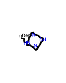 CCCCCCCCCCCCCc1cc2cc3nc(cc4ccc(cc5nc(cc1[nH]2)C=C5)[nH]4)C=C3